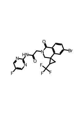 O=C(CN1CC2(CC2C(F)(F)F)c2cc(Br)ccc2C1=O)Nc1ncc(F)cn1